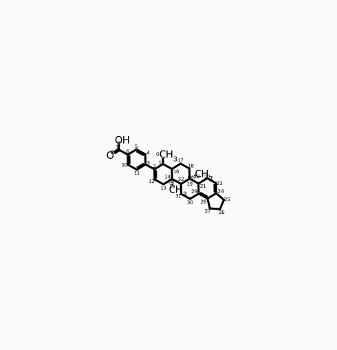 CC1C(c2ccc(C(=O)O)cc2)=CC[C@@]2(C)C1CC[C@@]1(C)C3CC=C4CCCC4=C3CCC12